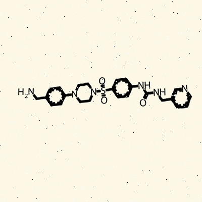 NCc1ccc(N2CCN(S(=O)(=O)c3ccc(NC(=O)NCc4cccnc4)cc3)CC2)cc1